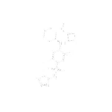 CN(C1COC1)[C@H]1CCCC[C@@H]1Nc1cc(F)c(S(=O)(=O)Nc2nccs2)cc1Cl